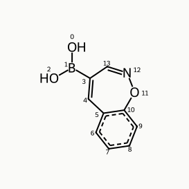 OB(O)C1=Cc2ccccc2ON=C1